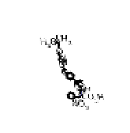 CN(C)CCOCc1cn(CCOc2ccc(-c3csc(N/N=C(/Cc4ccccc4[N+](=O)[O-])C(=O)O)n3)cc2)nn1